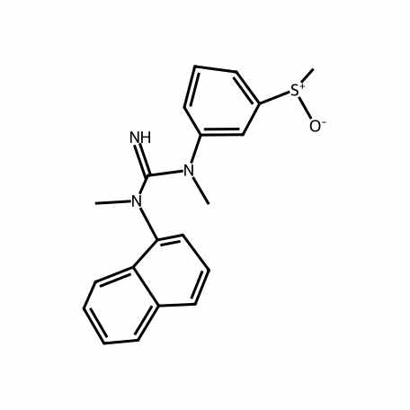 CN(C(=N)N(C)c1cccc2ccccc12)c1cccc([S+](C)[O-])c1